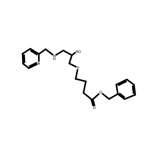 O=NC(CNCc1ccccn1)COCCCC(=O)OCc1ccccc1